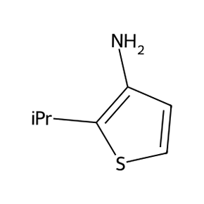 CC(C)c1sccc1N